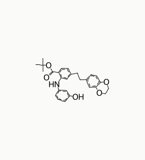 CC(C)(C)OC(=O)c1ccc(CCc2ccc3c(c2)OCCO3)cc1Nc1cccc(O)c1